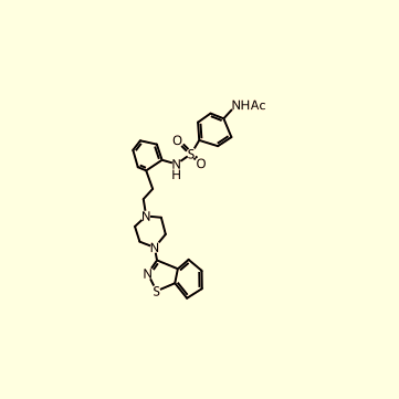 CC(=O)Nc1ccc(S(=O)(=O)Nc2ccccc2CCN2CCN(c3nsc4ccccc34)CC2)cc1